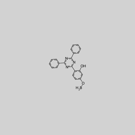 BOc1ccc(-c2nc(-c3ccccc3)nc(-c3ccccc3)n2)c(O)c1